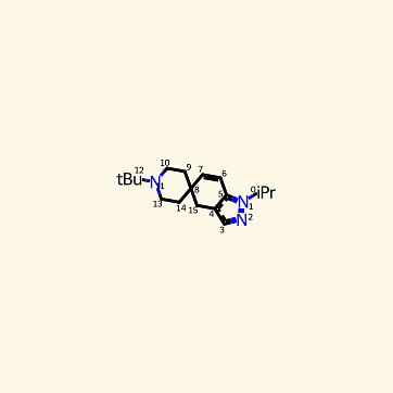 CC(C)n1ncc2c1C=CC1(CCN(C(C)(C)C)CC1)C2